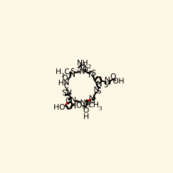 Cc1sc2nc1C(=O)NCc1nc(cs1)C(=O)N[C@@H](Cc1ccc(O)cc1)C(=O)N1C[C@H](O)[C@H](C)[C@H]1c1nc(cs1)-c1nc(cs1)-c1nc(-c3nc(C(=O)O)cs3)ccc1-c1nc(cs1)C(=O)N[C@H]2CC(N)=O